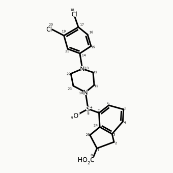 O=C(O)C1Cc2cccc([S+]([O-])N3CCN(c4ccc(Cl)c(Cl)c4)CC3)c2C1